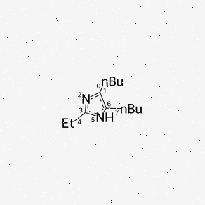 CCCCc1nc(CC)[nH]c1CCCC